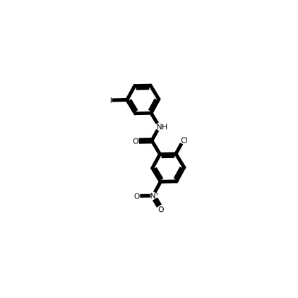 O=C(Nc1cccc(I)c1)c1cc([N+](=O)[O-])ccc1Cl